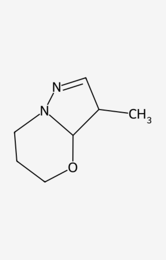 CC1C=NN2CCCOC12